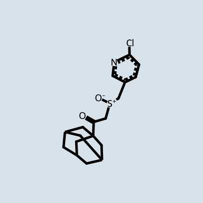 O=C(C[S+]([O-])Cc1ccc(Cl)nc1)C12CC3CC(CC(C3)C1)C2